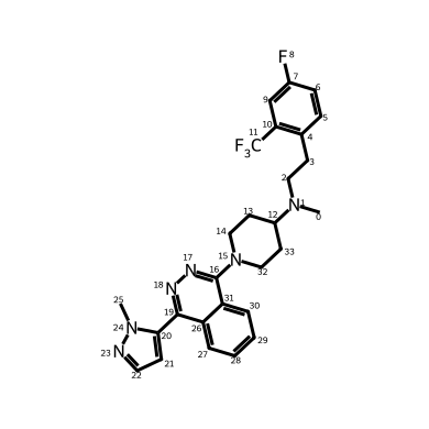 CN(CCc1ccc(F)cc1C(F)(F)F)C1CCN(c2nnc(-c3ccnn3C)c3ccccc23)CC1